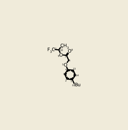 CCC(C)c1ccc(OCC(=O)OC(C)C(F)(F)F)cc1